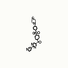 CN1CCN(c2ccc(S(=O)(=O)c3ccc(C(=O)c4cnc(-n5ccnc5)nc4)cc3)cc2)CC1